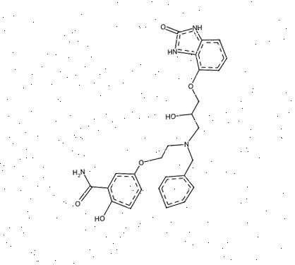 NC(=O)c1cc(OCCN(Cc2ccccc2)CC(O)COc2cccc3[nH]c(=O)[nH]c23)ccc1O